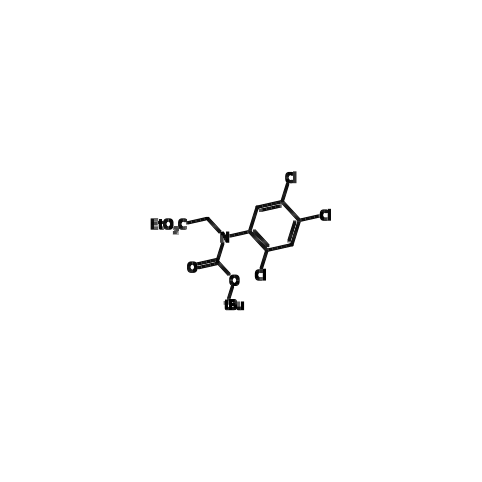 CCOC(=O)CN(C(=O)OC(C)(C)C)c1cc(Cl)c(Cl)cc1Cl